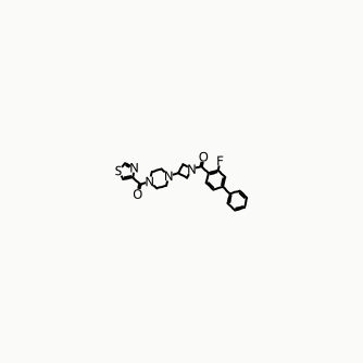 O=C(c1cscn1)N1CCN(C2CN(C(=O)c3ccc(-c4ccccc4)cc3F)C2)CC1